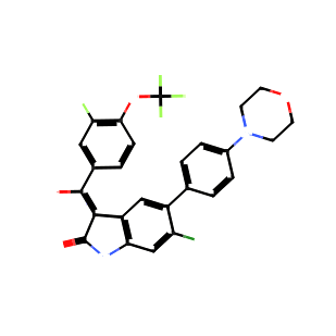 O=C1Nc2cc(Cl)c(-c3ccc(N4CCOCC4)cc3)cc2/C1=C(/O)c1ccc(OC(F)(F)F)c(F)c1